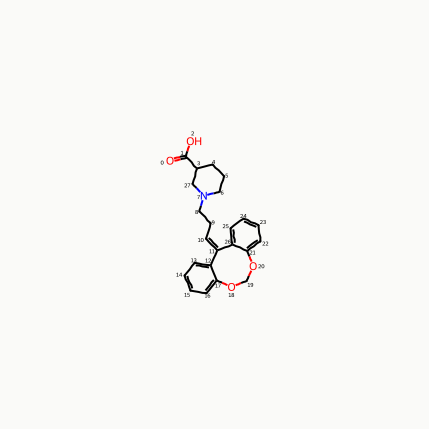 O=C(O)C1CCCN(CCC=C2c3ccccc3OCOc3ccccc32)C1